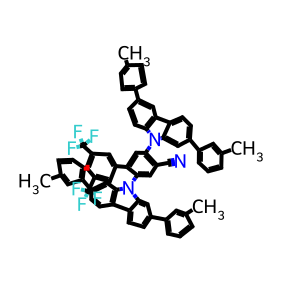 Cc1ccc(-c2ccc3c(c2)c2ccc(-c4cccc(C)c4)cc2n3-c2cc(-c3cc(C(F)(F)F)cc(C(F)(F)F)c3)c(-n3c4cc(-c5cccc(C)c5)ccc4c4ccc(-c5cccc(C)c5)cc43)cc2C#N)cc1